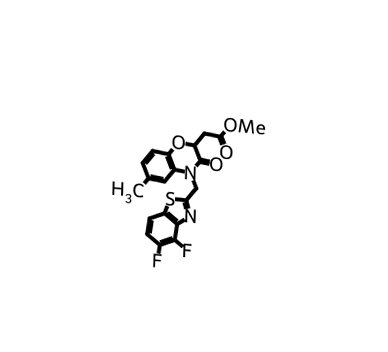 COC(=O)CC1Oc2ccc(C)cc2N(Cc2nc3c(F)c(F)ccc3s2)C1=O